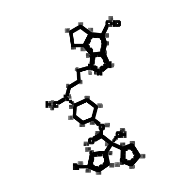 CN(CCCn1nnc2cc(C=O)c3c(c21)CCC3)[C@H]1CC[C@H](OC(=O)[C@@](O)(c2cccs2)c2ccc(Br)s2)CC1